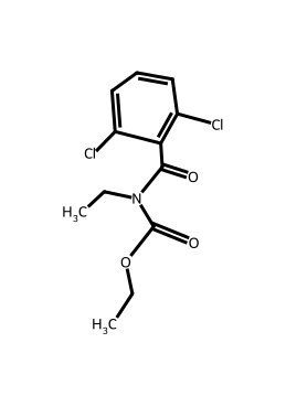 CCOC(=O)N(CC)C(=O)c1c(Cl)cccc1Cl